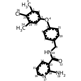 Cc1cc(Oc2ccc(CNC(=O)c3cccnc3N)cc2)cc(C)c1Cl